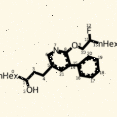 CCCCCCC(O)CCc1cnc(OCC(F)CCCCCC)c(-c2ccccc2)c1